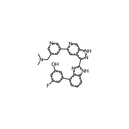 CN(C)Cc1cncc(-c2cc3c(-c4nc5c(-c6cc(O)cc(F)c6)cccc5[nH]4)n[nH]c3cn2)c1